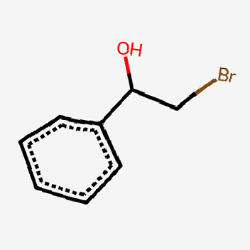 OC(CBr)c1ccccc1